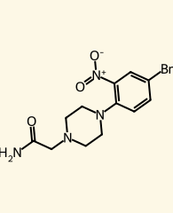 NC(=O)CN1CCN(c2ccc(Br)cc2[N+](=O)[O-])CC1